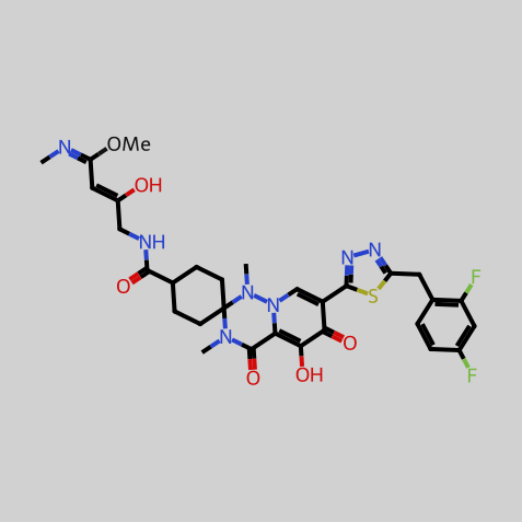 C/N=C(\C=C(/O)CNC(=O)C1CCC2(CC1)N(C)C(=O)c1c(O)c(=O)c(-c3nnc(Cc4ccc(F)cc4F)s3)cn1N2C)OC